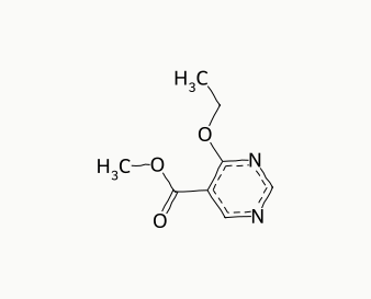 CCOc1ncncc1C(=O)OC